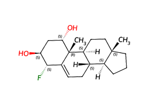 C[C@@]12CCC[C@H]1[C@@H]1CC=C3[C@H](F)[C@@H](O)C[C@H](O)[C@]3(C)[C@H]1CC2